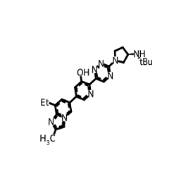 CCc1cc(-c2cnc(-c3cnc(N4CC[C@@H](NC(C)(C)C)C4)nn3)c(O)c2)cn2cc(C)nc12